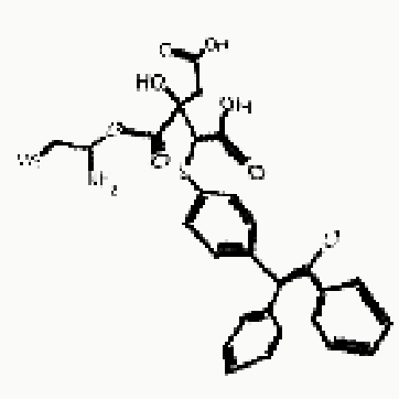 NC(CS)OC(=O)C(O)(CC(=O)O)C(Sc1ccc(C(=C(Cl)c2ccccc2)c2ccccc2)cc1)C(=O)O